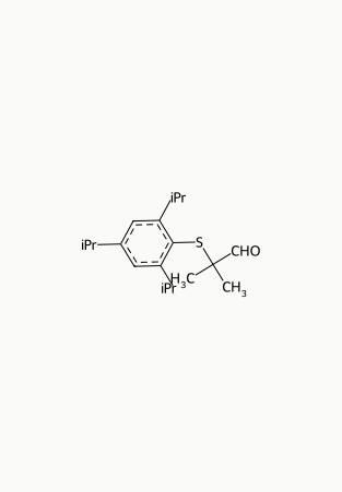 CC(C)c1cc(C(C)C)c(SC(C)(C)C=O)c(C(C)C)c1